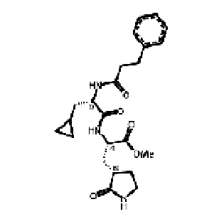 COC(=O)[C@H](C[C@@H]1CCNC1=O)NC(=O)[C@H](CC1CC1)NC(=O)CCc1ccccc1